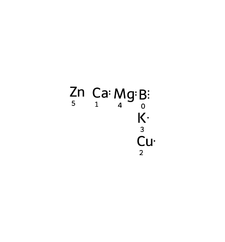 [B].[Ca].[Cu].[K].[Mg].[Zn]